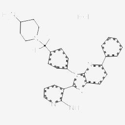 Cl.[2H]C([2H])(c1ccc(-n2c(-c3cccnc3N)nc3ccc(-c4ccccc4)nc32)cc1)N1CCC(N)CC1